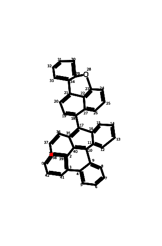 c1ccc(-c2ccccc2-c2c3ccccc3c(-c3ccc4c5c(cccc35)Oc3ccccc3-4)c3ccccc23)cc1